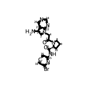 Nc1cn(CC(=O)N2CCC[C@H]2C(=O)Nc2cccc(Br)n2)c2ncncc12